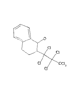 [O]C1c2ccccc2CCC1C(Cl)(Cl)C(Cl)(Cl)C(Cl)(Cl)Cl